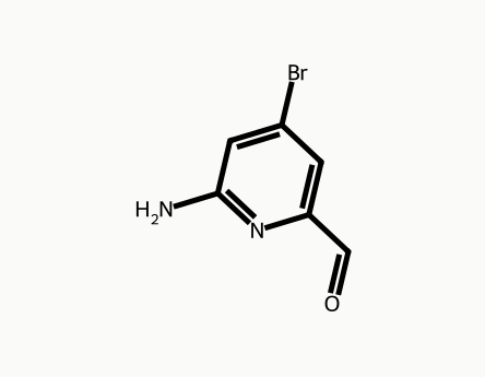 Nc1cc(Br)cc(C=O)n1